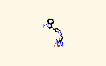 c1ccc2c([C@@H]3CCN(CCCc4ncon4)C3)c[nH]c2c1